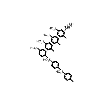 Cc1ccc(S(=O)(=O)O)cc1.Cc1ccc(S(=O)(=O)O)cc1.Cc1ccc(S(=O)(=O)O)cc1.Cc1ccc(S(=O)(=O)O)cc1.Cc1ccc(S(=O)(=O)O)cc1.Cc1ccc(S(=O)(=O)O)cc1.[LiH].[LiH].[LiH].[LiH]